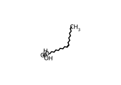 CCCCCCCC/C=C\CCCCCCCCO[PH](=O)O